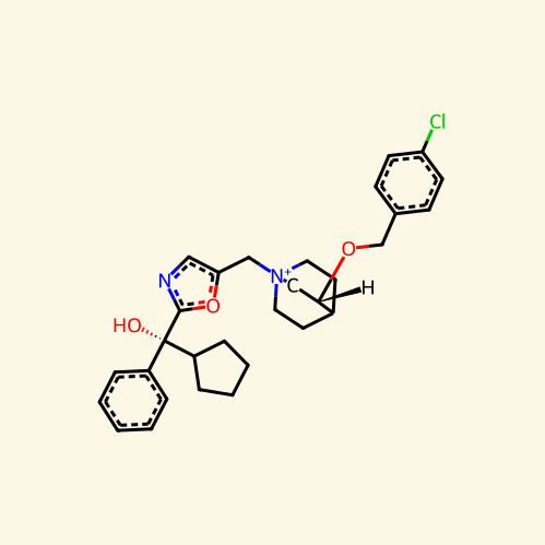 O[C@](c1ccccc1)(c1ncc(C[N+]23CCC(CC2)[C@@H](OCc2ccc(Cl)cc2)C3)o1)C1CCCC1